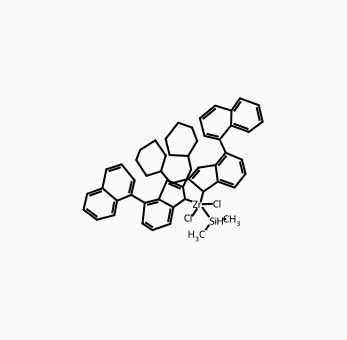 C[SiH](C)[Zr]([Cl])([Cl])([CH]1C(CC2CCCCC2)=Cc2c(-c3cccc4ccccc34)cccc21)[CH]1C(CC2CCCCC2)=Cc2c(-c3cccc4ccccc34)cccc21